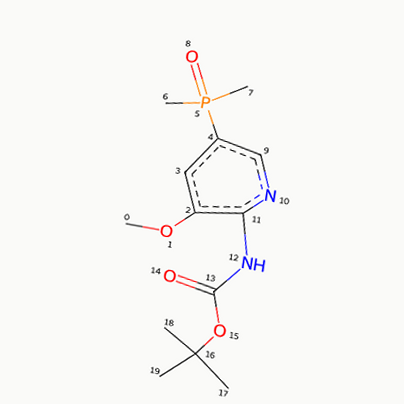 COc1cc(P(C)(C)=O)cnc1NC(=O)OC(C)(C)C